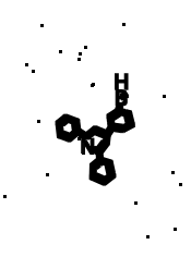 CBc1cccc(-c2cc(-c3ccccc3)nc(-c3ccccc3)c2)c1